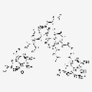 CCCCCC(=Nc1ccc(N(CC)CC)cc1)C(CCCC)=Nc1ccc(CCCC)c(CCCC)c1.CCCCc1c(CC)cc(O)c(O)c1C(=O)[O-].CCCCc1c(CC)cc(O)c(O)c1C(=O)[O-].[Pd+2]